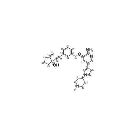 CN1CCC(n2cc(-c3cnc(N)c(OCc4cccc(C#CC5(O)CCCC5=O)c4)c3)cn2)CC1